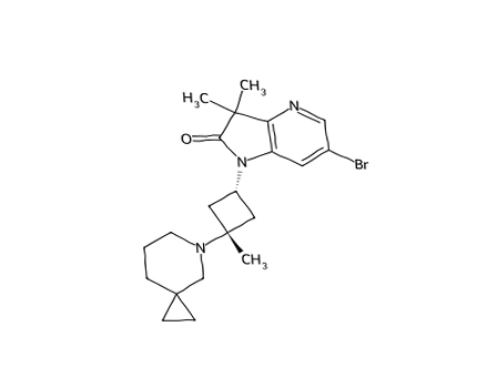 CC1(C)C(=O)N([C@H]2C[C@@](C)(N3CCCC4(CC4)C3)C2)c2cc(Br)cnc21